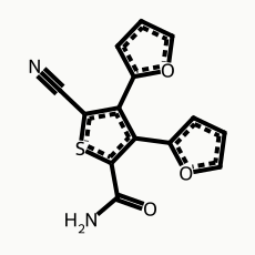 N#Cc1sc(C(N)=O)c(-c2ccco2)c1-c1ccco1